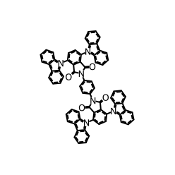 O=C1c2c(-n3c4ccccc4c4ccccc43)ccc(-n3c4ccccc4c4ccccc43)c2C(=O)N1c1ccc(N2C(=O)c3c(-n4c5ccccc5c5ccccc54)ccc(-n4c5ccccc5c5ccccc54)c3C2=O)cc1